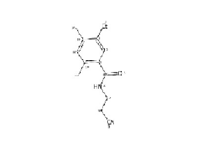 CCc1cc(C(=O)NCCC#N)c(C)cc1C